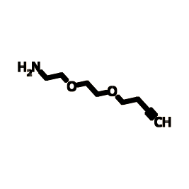 C#CCCOCCOCCN